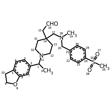 CC(c1ccc2c(c1)OCC2)N1CCC(CC=O)(CN(C)Cc2ccc(S(C)(=O)=O)cc2)CC1